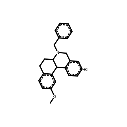 COc1ccc2c(c1)C1c3ccccc3CN(Cc3ccccc3)C1CC2.Cl